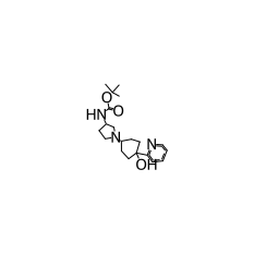 CC(C)(C)OC(=O)NC1CCN(C2CCC(O)(c3ccccn3)CC2)C1